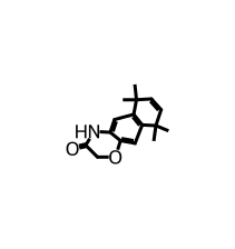 CC1(C)C=CC(C)(C)c2cc3c(cc21)NC(=O)CO3